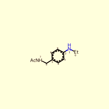 CCNc1ccc(CNC(C)=O)cc1